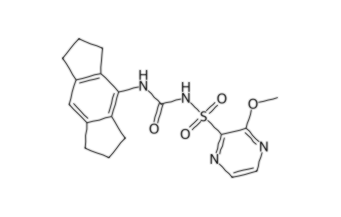 COc1nccnc1S(=O)(=O)NC(=O)Nc1c2c(cc3c1CCC3)CCC2